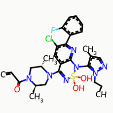 C=CC(=O)N1C[C@H](C)N(C2=NS(O)(O)N(c3c(C)cnn3CCC)c3nc(-c4ccccc4F)c(Cl)cc32)C[C@H]1C